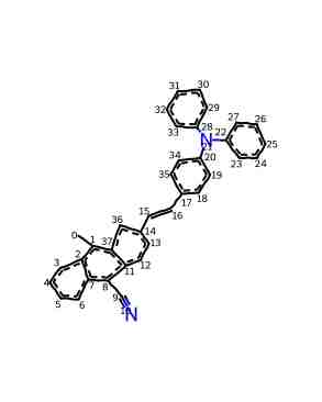 Cc1c2ccccc2c(C#N)c2ccc(C=Cc3ccc(N(c4ccccc4)c4ccccc4)cc3)cc12